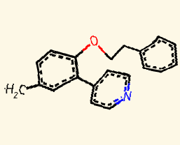 [CH2]c1ccc(OCCc2ccccc2)c(-c2ccncc2)c1